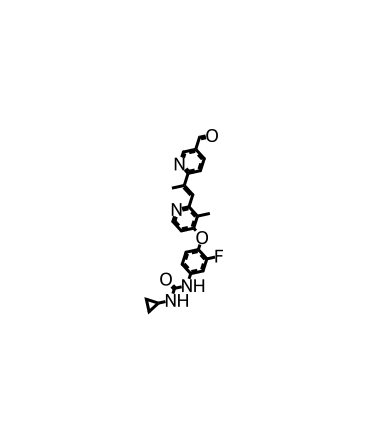 C/C(=C\c1nccc(Oc2ccc(NC(=O)NC3CC3)cc2F)c1C)c1ccc(C=O)cn1